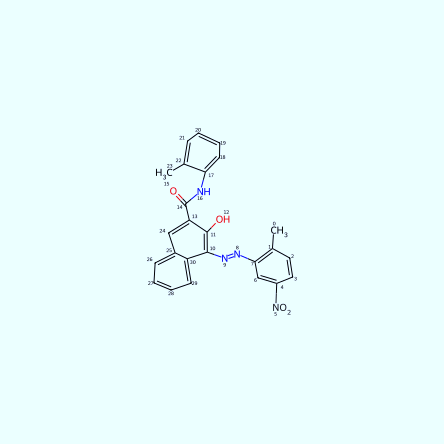 Cc1ccc([N+](=O)[O-])cc1/N=N/c1c(O)c(C(=O)Nc2ccccc2C)cc2ccccc12